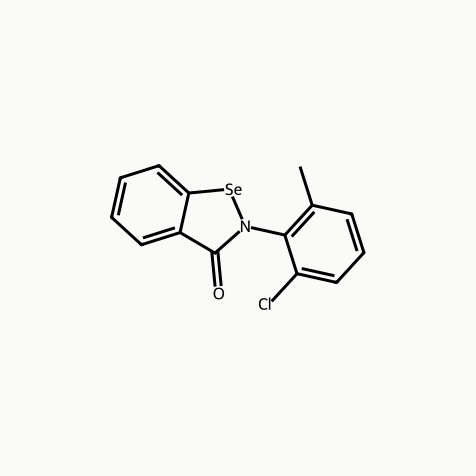 Cc1cccc(Cl)c1-n1[se]c2ccccc2c1=O